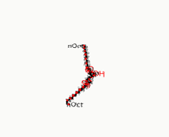 CCCCCCCC/C=C\CCCCCCCCCCCC(=O)Oc1ccc(C=Cc2cc(O)cc(OC(=O)CCCCCCCCCCC/C=C\CCCCCCCC)c2)cc1